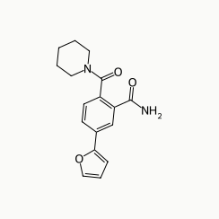 NC(=O)c1cc(-c2ccco2)ccc1C(=O)N1CCCCC1